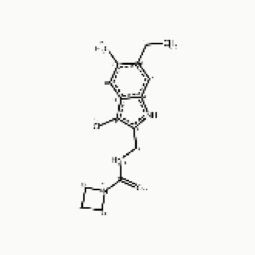 CCc1cc2[nH]c(CNC(=O)N3CCC3)c(Cl)c2cc1C